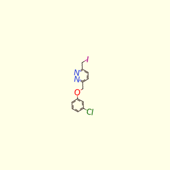 Clc1cccc(OCc2ccc(CI)nn2)c1